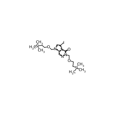 C[Si](C)(C)CCOCn1ncc2c(c(I)cn2COCC[Si](C)(C)C)c1=O